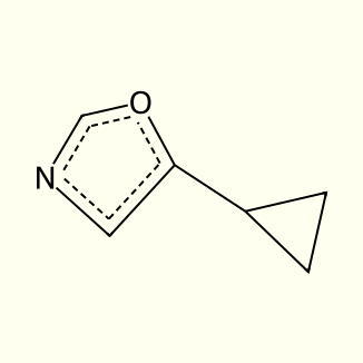 c1ncc(C2CC2)o1